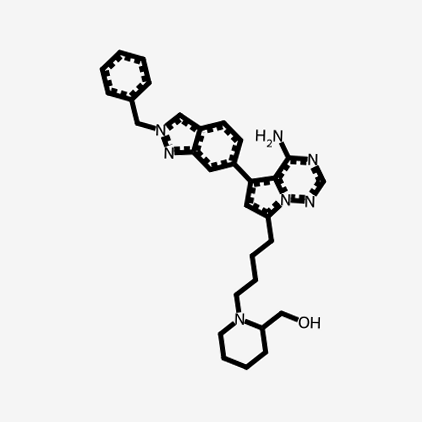 Nc1ncnn2c(CCCCN3CCCCC3CO)cc(-c3ccc4cn(Cc5ccccc5)nc4c3)c12